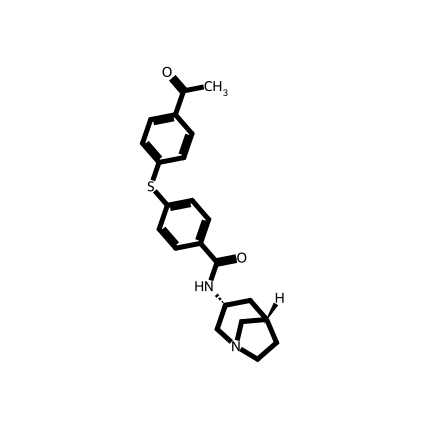 CC(=O)c1ccc(Sc2ccc(C(=O)N[C@@H]3C[C@@H]4CCN(C4)C3)cc2)cc1